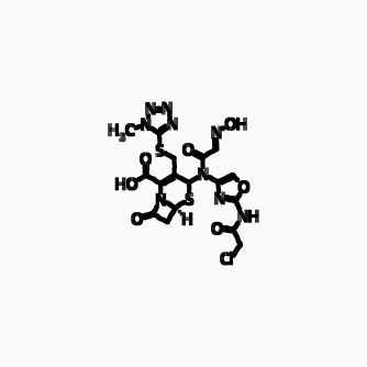 Cn1nnnc1SCC1=C(C(=O)O)N2C(=O)C[C@@H]2SC1N(C(=O)C=NO)c1coc(NC(=O)CCl)n1